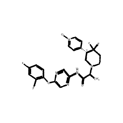 CC(C(=O)Nc1cnc(Oc2ccc(F)cc2F)cn1)N1CCC(F)(F)[C@@H](c2cc[n+]([O-])cc2)C1